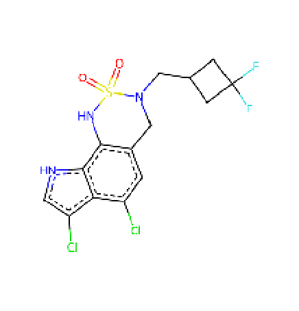 O=S1(=O)Nc2c(cc(Cl)c3c(Cl)c[nH]c23)CN1CC1CC(F)(F)C1